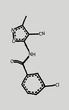 Cc1noc(NC(=O)c2cccc(Cl)c2)c1C#N